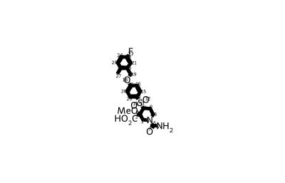 COC1(C(=O)O)CN(C(N)=O)CCC1S(=O)(=O)c1ccc(OCc2cc(F)ccc2C)cc1